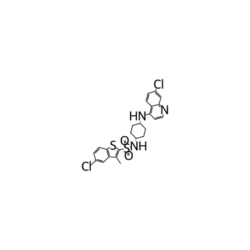 Cc1c(S(=O)(=O)N[C@H]2CC[C@@H](Nc3ccnc4cc(Cl)ccc34)CC2)sc2ccc(Cl)cc12